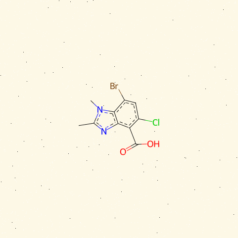 Cc1nc2c(C(=O)O)c(Cl)cc(Br)c2n1C